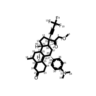 COCC(=O)[C@@]1(C#CC(F)(F)F)CC[C@H]2[C@@H]3CC(C)C4=CC(=O)CCC4=C3[C@@H](c3ccc(N(C)C)cc3)C[C@@]21C